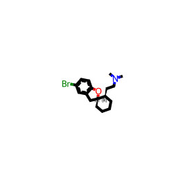 CN(C)CC[C@H]1CCCC[C@]12Cc1cc(Br)ccc1O2